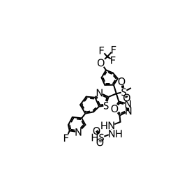 CS(=O)(=O)C(c1ccc(OC(F)(F)F)cc1)(c1nnc(CNN[SH](=O)=O)o1)c1nc2ccc(-c3ccc(F)nc3)cc2s1